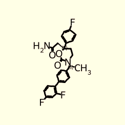 C[C@@H](c1ccc(-c2ccc(F)cc2F)cc1)N1CC[C@@](CC(N)=O)(c2ccc(F)cc2)OC1=O